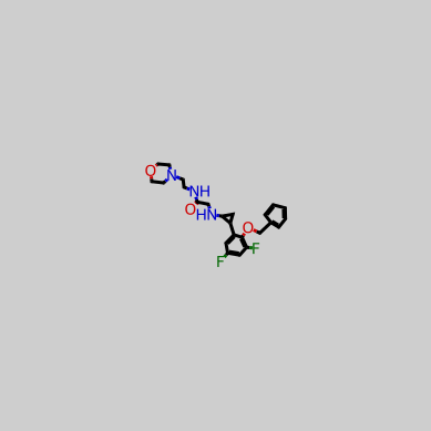 O=C(CNC1CC1c1cc(F)cc(F)c1OCc1ccccc1)NCCN1CCOCC1